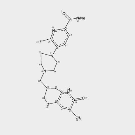 CNC(=O)c1ccc(N2CCN(CC3COc4cc(C)c(=O)[nH]c4C3)CC2)c(F)n1